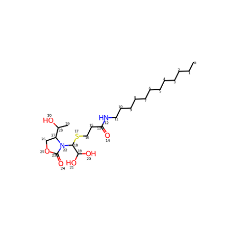 CCCCCCCCCCCCNC(=O)CCSC(C(O)O)N1C(=O)OCC1C(C)O